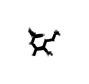 CC(O[SH](=O)=O)=C(N)CCN